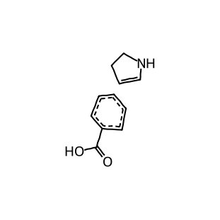 C1=CNCC1.O=C(O)c1ccccc1